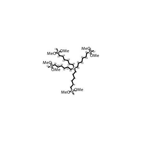 CO[Si](C)(CCCCCC[Si](CCCCCC[Si](C)(OC)OC)(CCCCCC[Si](C)(OC)OC)CCCCCC[Si](C)(OC)OC)OC